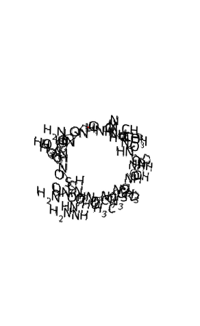 CCCC[C@H]1C(=O)N(C)[C@@H](CO)C(=O)N[C@@H](CCCNC(=N)N)C(=O)NC(C(=O)NCC(N)=O)CSCC(=O)N[C@@H](Cc2ccc(O)cc2)C(=O)N(C)[C@@H](C)C(=O)N[C@@H](CC(N)=O)C(=O)N2CCC[C@H]2C(=O)N[C@@H](Cc2cnc[nH]2)C(=O)N[C@@H](CC(C)C)C(=O)N2C[C@H](O)CC2(C=O)N[C@@H](Cc2c[nH]c3ccccc23)C(=O)N[C@@H](CO)C(=O)N[C@@H](Cc2csc3ccccc23)C(=O)N1C